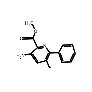 COC(=O)c1nc(-c2ccccc2)c(F)cc1N